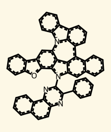 c1ccc(-c2nc3ccc4ccccc4c3nc2-n2c3cc4ccccc4c4c5cccc6c7ccccc7n(c7cc8c9ccccc9oc8c2c7c43)c65)cc1